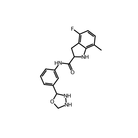 Cc1ccc(F)c2c1NC(C(=O)Nc1cccc(C3NNCO3)c1)C2